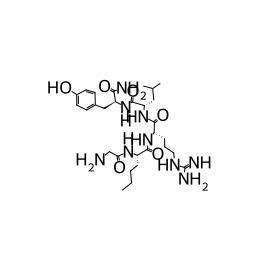 CCCC[C@H](NC(=O)CN)C(=O)N[C@@H](CCCNC(=N)N)C(=O)N[C@@H](CC(C)C)C(=O)N[C@@H](Cc1ccc(O)cc1)C(N)=O